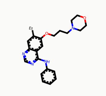 CCc1cc2ncnc(Nc3ccccc3)c2cc1OCCCN1CCOCC1